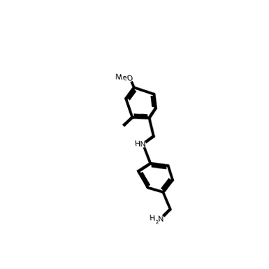 COc1ccc(CNc2ccc(CN)cc2)c(C)c1